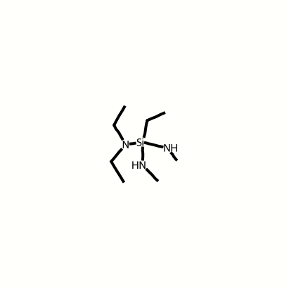 CCN(CC)[Si](CC)(NC)NC